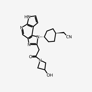 N#CC[C@H]1CC[C@H](n2c(CC(=O)N3CC(O)C3)nc3cnc4[nH]ccc4c32)CC1